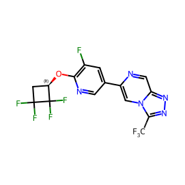 Fc1cc(-c2cn3c(C(F)(F)F)nnc3cn2)cnc1O[C@@H]1CC(F)(F)C1(F)F